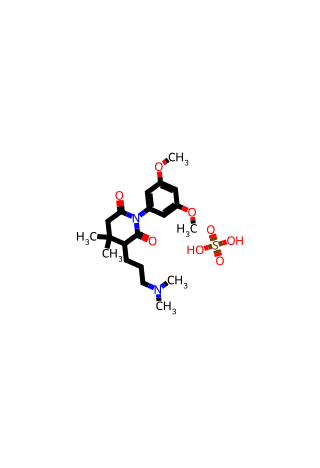 COc1cc(OC)cc(N2C(=O)CC(C)(C)C(CCCN(C)C)C2=O)c1.O=S(=O)(O)O